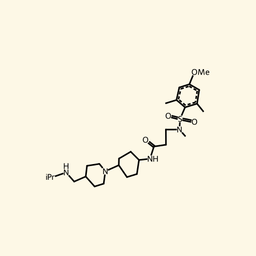 COc1cc(C)c(S(=O)(=O)N(C)CCC(=O)NC2CCC(N3CCC(CNC(C)C)CC3)CC2)c(C)c1